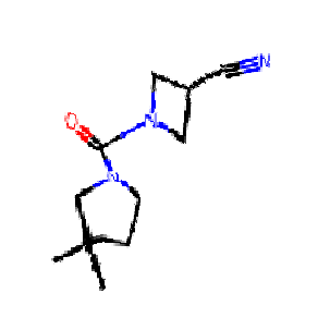 CC1(C)CCN(C(=O)N2CC(C#N)C2)C1